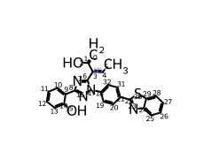 C=C(O)/C(=C\C)c1nc(-c2ccccc2O)nn1-c1ccc(-c2nc3ccccc3s2)cc1